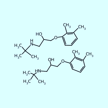 Cc1cccc(OCC(O)CNC(C)(C)C)c1C.Cc1cccc(OCC(O)CNC(C)(C)C)c1C